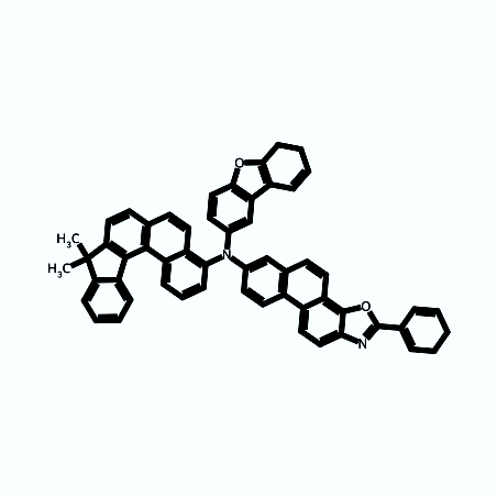 CC1(C)c2ccccc2-c2c1ccc1ccc3c(N(c4ccc5c(ccc6c5ccc5nc(C7=CCCC=C7)oc56)c4)c4ccc5oc6c(c5c4)C=CCC6)cccc3c21